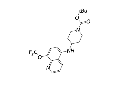 CC(C)(C)OC(=O)N1CCC(Nc2ccc(OC(F)(F)F)c3ncccc23)CC1